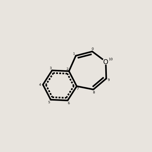 C1=Cc2ccccc2C=CO1